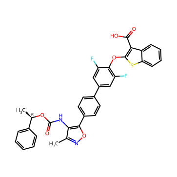 Cc1noc(-c2ccc(-c3cc(F)c(Oc4sc5ccccc5c4C(=O)O)c(F)c3)cc2)c1NC(=O)O[C@H](C)c1ccccc1